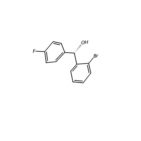 O[C@@H](c1ccc(F)cc1)c1ccccc1Br